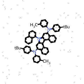 Cc1cccc(N(c2ccc(C(C)(C)C)cc2)c2cc3c(c4ccccc24)c2c4ccccc4c(N(c4ccc(C(C)(C)C)cc4)c4cccc(C)c4)cc2n3-c2cccc3ccccc23)c1